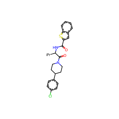 CC(C)C(NC(=O)c1cc2ccccc2s1)C(=O)N1CCC(c2ccc(Cl)cc2)CC1